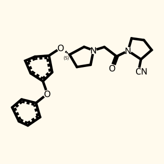 N#CC1CCCN1C(=O)CN1CC[C@H](Oc2cccc(Oc3ccccc3)c2)C1